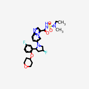 CCN(C)S(=O)(=O)NC(=O)c1cnc2ccc(N3CC(F)CC3c3cc(F)ccc3OC3CCOCC3)cn12